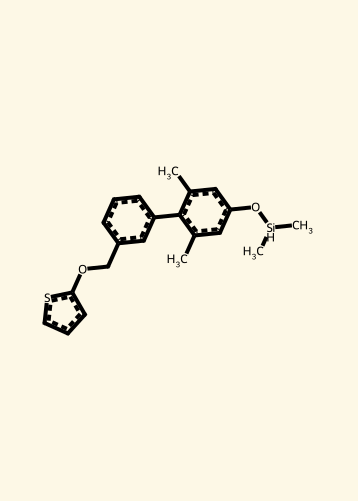 Cc1cc(O[SiH](C)C)cc(C)c1-c1cccc(COc2cccs2)c1